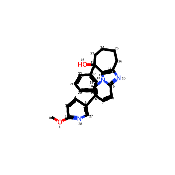 COc1ccc(-c2ccc3nc4c(n3c2)C(O)(c2ccccc2)CCCC4)cn1